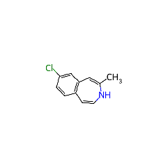 CC1=Cc2cc(Cl)ccc2C=CN1